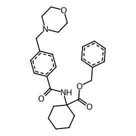 O=C(NC1(C(=O)OCc2ccccc2)CCCCC1)c1ccc(CN2CCOCC2)cc1